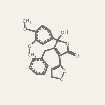 COc1ccc(C2(O)OC(=O)C(C3=CCOO3)=C2Cc2ccccc2)cc1OC